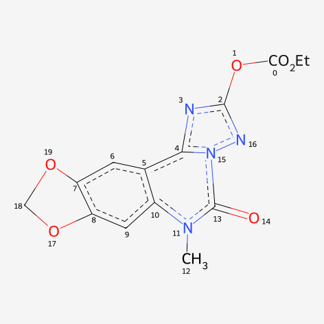 CCOC(=O)Oc1nc2c3cc4c(cc3n(C)c(=O)n2n1)OCO4